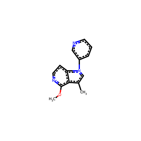 COc1nccc2c1c(C)cn2-c1cccnc1